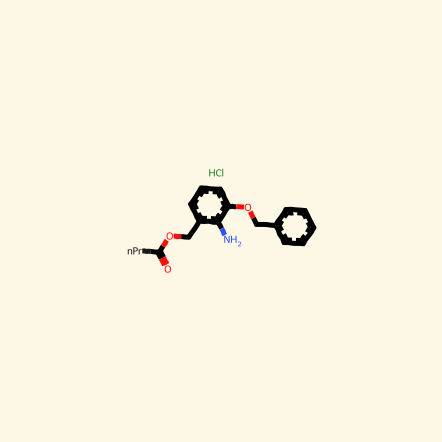 CCCC(=O)OCc1cccc(OCc2ccccc2)c1N.Cl